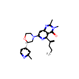 C=C(CCC(F)(F)F)c1nc(N2CCO[C@@H](c3ccnc(C)c3)C2)cc2nc(C)n(C)c(=O)c12